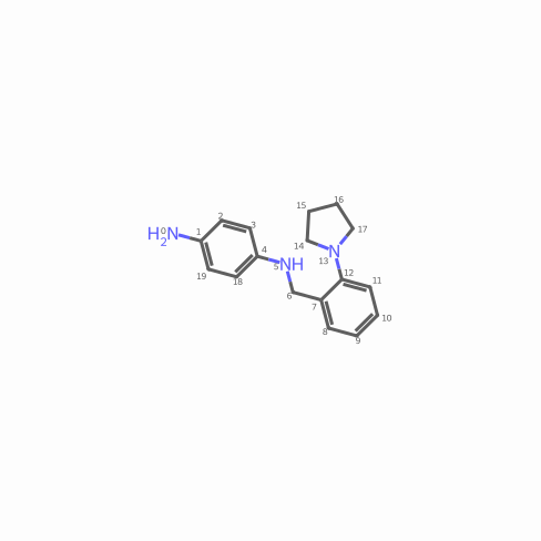 Nc1ccc(NCc2ccccc2N2CCCC2)cc1